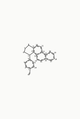 Fc1ccc(C2CCCc3ccc4c(ccc5ccccc54)c32)cc1